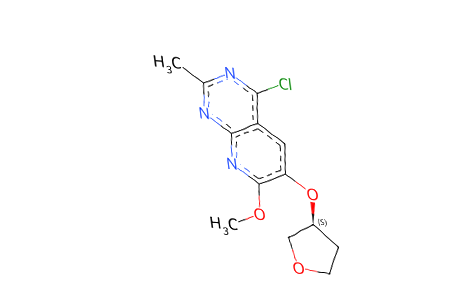 COc1nc2nc(C)nc(Cl)c2cc1O[C@H]1CCOC1